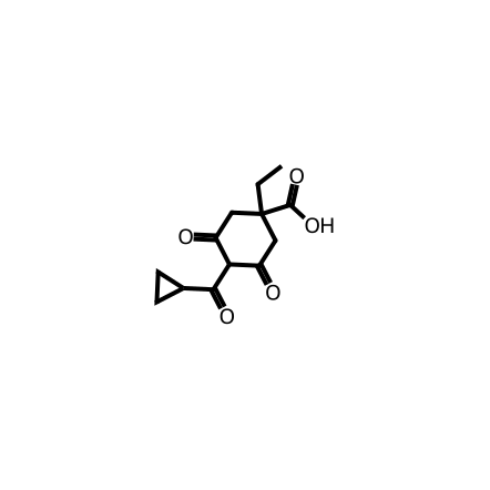 CCC1(C(=O)O)CC(=O)C(C(=O)C2CC2)C(=O)C1